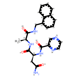 C[C@H](NC(=O)[C@H](CC(N)=O)NC(=O)c1cnccn1)C(=O)NCc1cccc2ccccc12